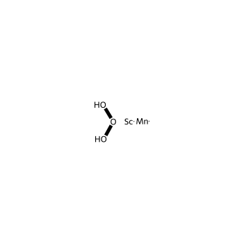 OOO.[Mn].[Sc]